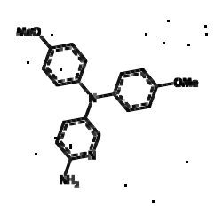 COc1ccc(N(c2ccc(OC)cc2)c2ccc(N)nc2)cc1